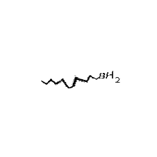 BCCCCCCCCCC